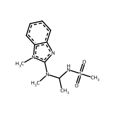 CC(NS(C)(=O)=O)N(C)c1nc2ccccc2n1C